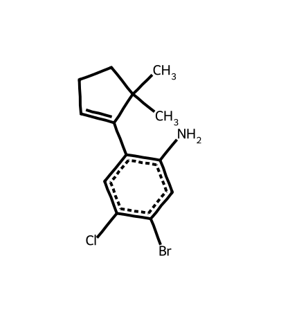 CC1(C)CCC=C1c1cc(Cl)c(Br)cc1N